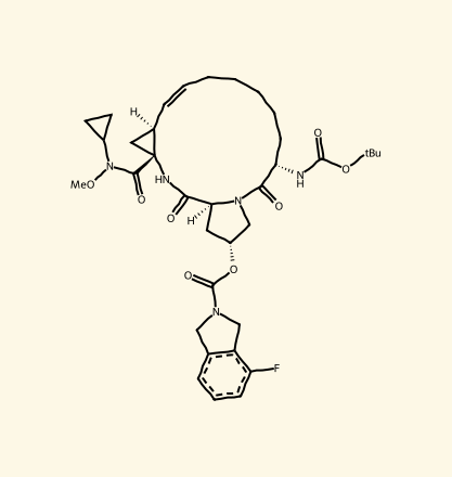 CON(C(=O)[C@@]12C[C@H]1/C=C\CCCCC[C@H](NC(=O)OC(C)(C)C)C(=O)N1C[C@H](OC(=O)N3Cc4cccc(F)c4C3)C[C@H]1C(=O)N2)C1CC1